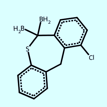 BC1(B)Sc2ccccc2Cc2c(Cl)cccc21